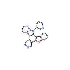 c1cncc(-n2c3ncccc3c3c4ccncc4c4oc5ccccc5c4c32)c1